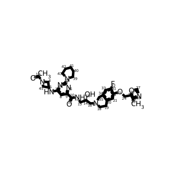 CC(=O)N1CC(Nc2cc(C(=O)NC[C@H](O)CN3CCc4cc(OCc5ocnc5C)c(F)cc4C3)nc(N3CCCCC3)n2)C1